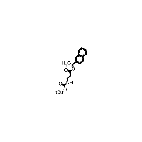 C[C@@H](OC(=O)CCNC(=O)OC(C)(C)C)c1ccc2ccccc2c1